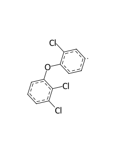 Clc1c[c]ccc1Oc1cccc(Cl)c1Cl